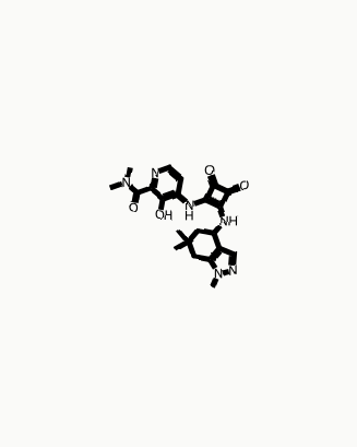 CN(C)C(=O)c1nccc(Nc2c(NC3CC(C)(C)Cc4c3cnn4C)c(=O)c2=O)c1O